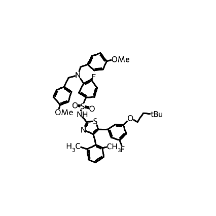 COc1ccc(CN(Cc2ccc(OC)cc2)c2cc(S(=O)(=O)Nc3nc(-c4c(C)cccc4C)c(-c4cc(F)cc(OCCC(C)(C)C)c4)s3)ccc2F)cc1